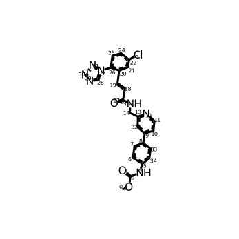 COC(=O)Nc1ccc(-c2ccnc(CNC(=O)C=Cc3cc(Cl)ccc3-n3cnnn3)c2)cc1